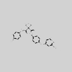 Nc1cc(Oc2ccc(NC(=O)C3(C(=O)Nc4ccc(F)cc4)COC3)cc2)ccn1